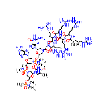 CC(=O)NC(CCCNC(=N)N)C(=O)NC(CCCNC(=N)N)C(=O)NC(CCCNC(=N)N)C(=O)NC(CCCNC(=N)N)C(=O)NC(CCCNC(=N)N)C(=O)NC(CCCNC(=N)N)C(=O)NCC(=O)N1CC(COP(=O)(N(C)C)N2CC(COP(=O)(N(C)C)N3CC(COP(C)(=O)N(C)C)OC(n4cc(C)c(=O)[nH]c4=O)C3)OC(n3cnc4c(N)ncnc43)C2)OC(n2cnc3c(=O)[nH]c(N)nc32)C1